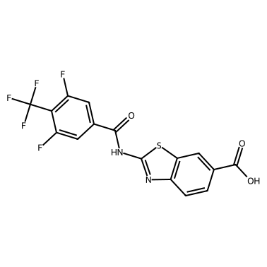 O=C(O)c1ccc2nc(NC(=O)c3cc(F)c(C(F)(F)F)c(F)c3)sc2c1